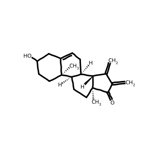 C=C1C(=C)[C@H]2[C@@H]3CC=C4CC(O)CC[C@]4(C)[C@@H]3CC[C@]2(C)C1=O